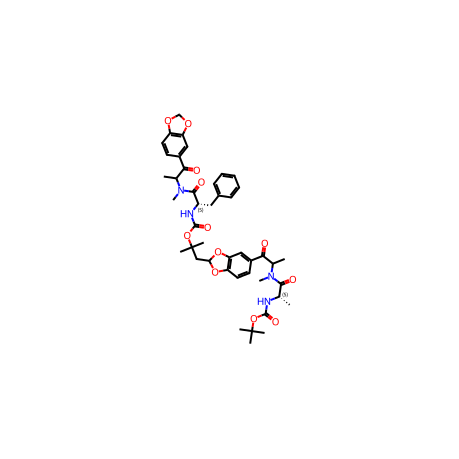 CC(C(=O)c1ccc2c(c1)OC(CC(C)(C)OC(=O)N[C@@H](Cc1ccccc1)C(=O)N(C)C(C)C(=O)c1ccc3c(c1)OCO3)O2)N(C)C(=O)[C@H](C)NC(=O)OC(C)(C)C